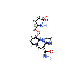 NC(=O)c1cc2cccc(OCC3CCC(=O)N3)c2n2ccnc12